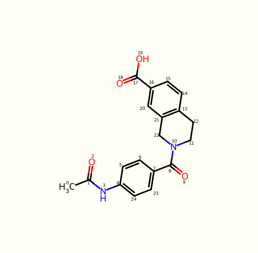 CC(=O)Nc1ccc(C(=O)N2CCc3ccc(C(=O)O)cc3C2)cc1